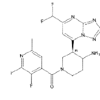 Cc1cc(C(=O)N2CCC(N)[C@H](c3cc(C(F)F)nc4ncnn34)C2)c(F)c(I)n1